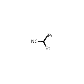 [CH2]C(C)C(C#N)CC